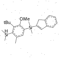 COc1c([Si](C)(C)C2=Cc3ccccc3C2)cc(C)c([SiH](C)C)c1C(C)(C)C